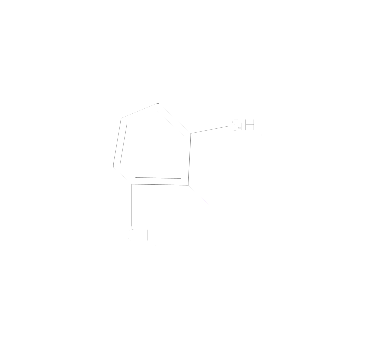 Cc1cccc([SiH3])c1I